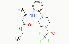 CCOC(=O)/C=C(/C)Nc1ccccc1N1CCN(C(=O)C(F)(F)F)CC1